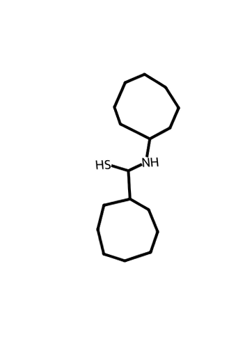 SC(NC1CCCCCCC1)C1CCCCCCC1